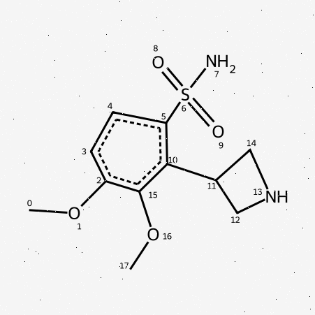 COc1ccc(S(N)(=O)=O)c(C2CNC2)c1OC